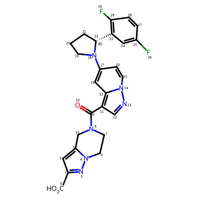 O=C(O)c1cc2n(n1)CCN(C(=O)c1cnn3ccc(N4CCC[C@@H]4c4cc(F)ccc4F)cc13)C2